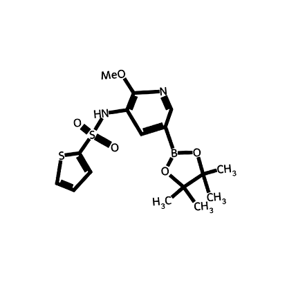 COc1ncc(B2OC(C)(C)C(C)(C)O2)cc1NS(=O)(=O)c1cccs1